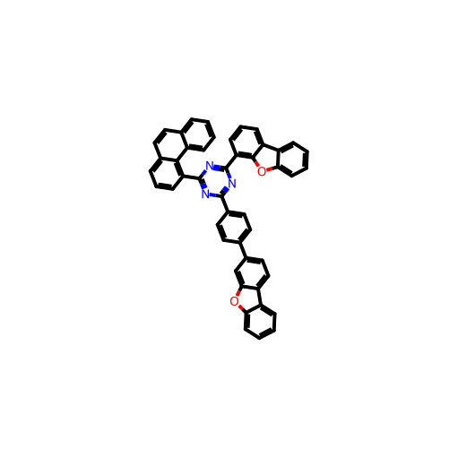 c1ccc2c(c1)ccc1cccc(-c3nc(-c4ccc(-c5ccc6c(c5)oc5ccccc56)cc4)nc(-c4cccc5c4oc4ccccc45)n3)c12